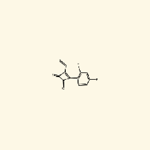 C=Cc1c(-c2ccc(F)cc2F)c(=O)c1=O